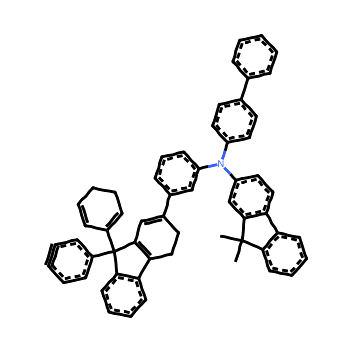 CC1(C)c2ccccc2-c2ccc(N(c3ccc(-c4ccccc4)cc3)c3cccc(C4=CC5=C(CC4)c4ccccc4C5(C4=CCCC=C4)c4cc#ccc4)c3)cc21